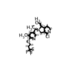 CC=C1c2ccnc(Cl)c2CN1C(C)c1cnc(OCCC(F)(F)F)c(C)c1